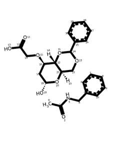 CC(=O)NCc1ccccc1.O=C(O)CO[C@@H]1C[C@@H](O)O[C@@H]2COC(c3ccccc3)O[C@@H]12